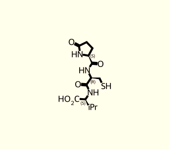 CC(C)[C@H](NC(=O)[C@H](CS)NC(=O)[C@@H]1CCC(=O)N1)C(=O)O